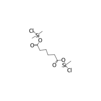 C[Si](C)(Cl)OC(=O)CCCCC(=O)O[Si](C)(C)Cl